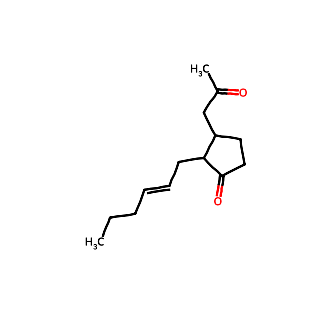 CCCC=CCC1C(=O)CCC1CC(C)=O